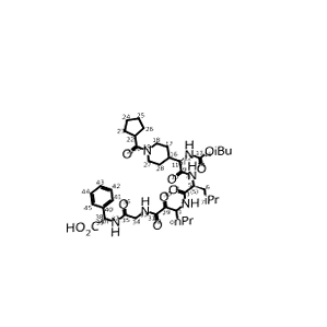 CCCC(NC(=O)[C@H](CC(C)C)NC(=O)[C@@H](NC(=O)OCC(C)C)C1CCN(C(=O)C2CCCC2)CC1)C(=O)C(=O)NCC(=O)N[C@H](C(=O)O)c1ccccc1